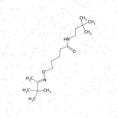 C/C(=N\OCCCCC(=O)NCCC(C)(C)C)C(C)(C)C